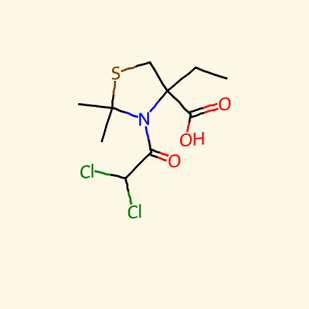 CCC1(C(=O)O)CSC(C)(C)N1C(=O)C(Cl)Cl